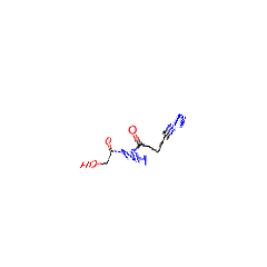 N#CCC(=O)NC(=O)CO